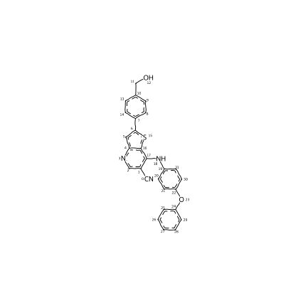 N#Cc1cnc2cc(-c3ccc(CO)cc3)sc2c1Nc1ccc(Oc2ccccc2)cc1